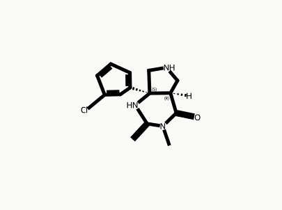 C=C1N[C@@]2(c3cccc(Cl)c3)CNC[C@H]2C(=O)N1C